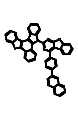 c1ccc2cc(-c3ccc(-c4nc(-n5c6ccccc6c6c7c8ccccc8sc7c7ccccc7c65)nc5oc6ccccc6c45)cc3)ccc2c1